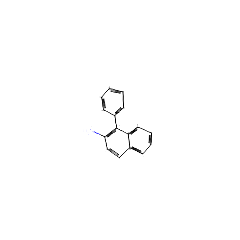 Nc1ccc2ccccc2c1-c1ccccc1